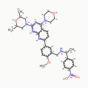 COc1ccc(-c2ccc3c(N4CCOCC4)nc(N4CC(C)OC(C)C4)nc3n2)cc1CNC(C)c1ccc([N+](=O)[O-])cc1